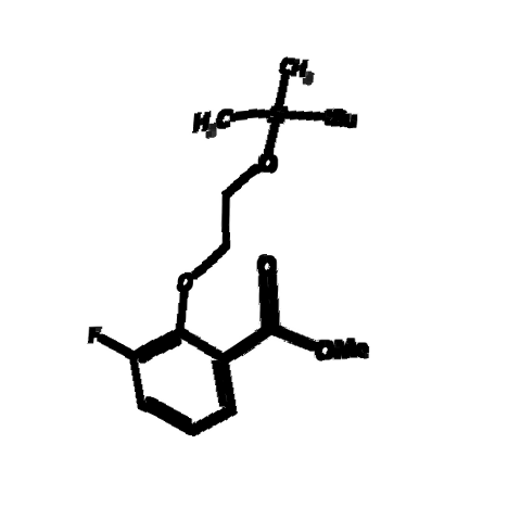 COC(=O)c1cccc(F)c1OCCO[Si](C)(C)C(C)(C)C